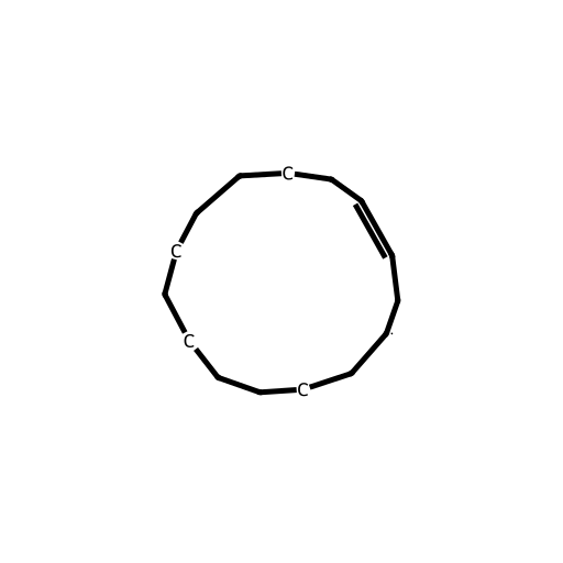 [CH]1C/C=C\CCCCCCCCCCC1